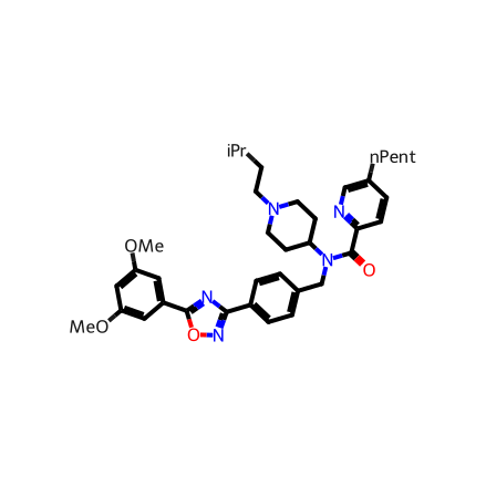 CCCCCc1ccc(C(=O)N(Cc2ccc(-c3noc(-c4cc(OC)cc(OC)c4)n3)cc2)C2CCN(CCC(C)C)CC2)nc1